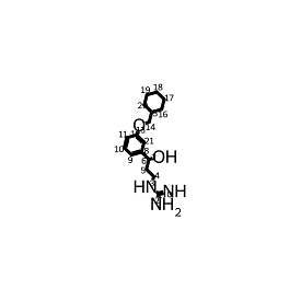 N=C(N)NCCC(O)c1cccc(OCC2CCCCC2)c1